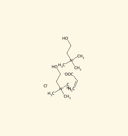 C=CC(=O)[O-].C[N+](C)(C)CCO.C[N+](C)(C)CCO.[Cl-]